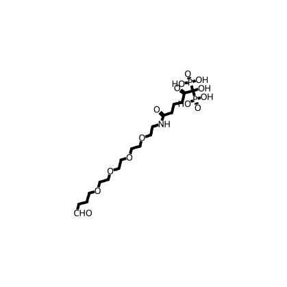 O=CCCCOCCOCCOCCOCCNC(=O)CCCC(=O)C(O)(P(=O)(O)O)P(=O)(O)O